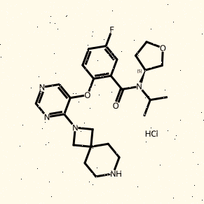 CC(C)N(C(=O)c1cc(F)ccc1Oc1cncnc1N1CC2(CCNCC2)C1)[C@H]1CCOC1.Cl